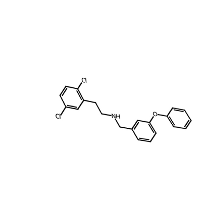 Clc1ccc(Cl)c(CCNCc2cccc(Oc3ccccc3)c2)c1